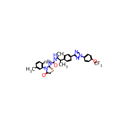 CCCc1ccc(C)cc1N1C(=O)CS/C1=N\C(=O)NC(C)C(C)c1ccc(-c2ncn(-c3ccc(OC(F)(F)F)cc3)n2)cc1